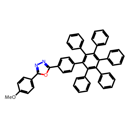 COc1ccc(-c2nnc(-c3ccc(-c4c(-c5ccccc5)c(-c5ccccc5)c(-c5ccccc5)c(-c5ccccc5)c4-c4ccccc4)cc3)o2)cc1